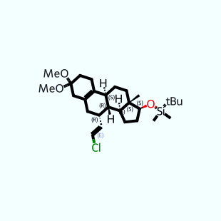 COC1(OC)CCC2=C(C[C@@H](/C=C/Cl)[C@@H]3[C@@H]2CC[C@]2(C)[C@@H](O[Si](C)(C)C(C)(C)C)CC[C@@H]32)C1